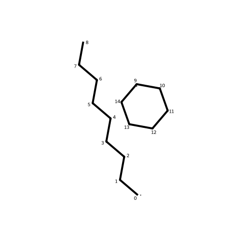 [CH2]CCCCCCCC.[CH]1CCCCC1